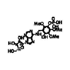 COc1c(O)c(CNc2ncnc3c2ncn3[C@@H]2O[C@H](CO)[C@@H](O)[C@H]2O)c(OC)c(OP(=O)(O)O)c1OC